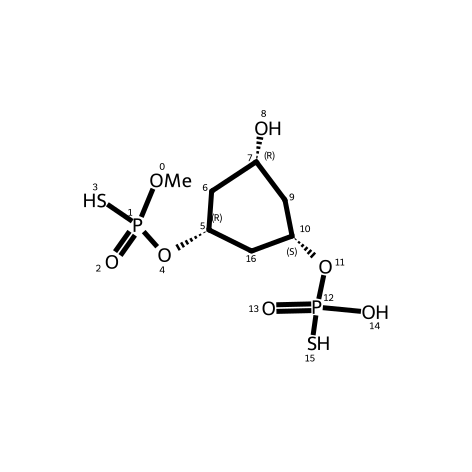 COP(=O)(S)O[C@@H]1C[C@H](O)C[C@H](OP(=O)(O)S)C1